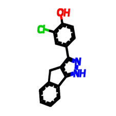 Oc1ccc(-c2n[nH]c3c2Cc2ccccc2-3)cc1Cl